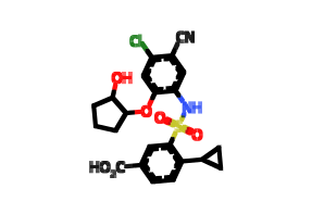 N#Cc1cc(NS(=O)(=O)c2cc(C(=O)O)ccc2C2CC2)c(OC2CCCC2O)cc1Cl